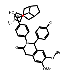 COc1cc2c(cc1OC(C)C)C(c1ccc(Cl)cc1)N(c1ccc([C@@](C)(O)C3CC4CCC(C3)N4C3COC3)cc1)C(=O)C2